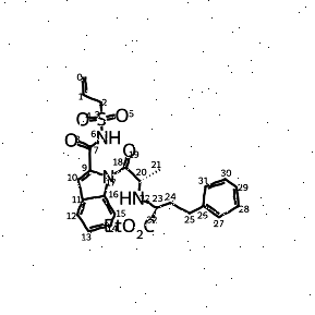 C=CCS(=O)(=O)NC(=O)c1cc2ccccc2n1C(=O)[C@H](C)N[C@@H](CCc1ccccc1)C(=O)OCC